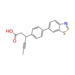 CC#CC(CC(=O)O)c1ccc(-c2ccc3ncsc3c2)cc1